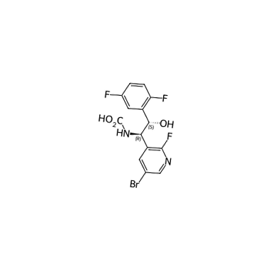 O=C(O)N[C@H](c1cc(Br)cnc1F)[C@@H](O)c1cc(F)ccc1F